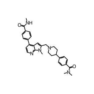 CNC(=O)c1ccc(-c2ccnc3c2cc(CN2CCC(c4ccc(C(=O)N(C)C)cc4)CC2)n3C)cc1